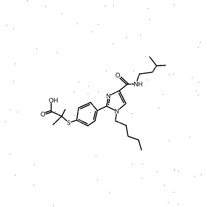 CCCCCn1cc(C(=O)NCCC(C)C)nc1-c1ccc(SC(C)(C)C(=O)O)cc1